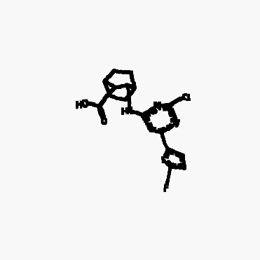 O=C(O)C1C2CCC(CC2)C1Nc1cc(-c2ccc(F)s2)nc(Cl)n1